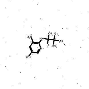 BC(B)(O)C(C)(C)Nc1ncc(Br)cc1[N+](=O)[O-]